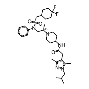 Cc1nn(CC(C)C)c(C)c1CC(=O)NC1CCN([C@H](C)CN(c2ccccc2)S(=O)(=O)CC2CCC(F)(F)CC2)CC1